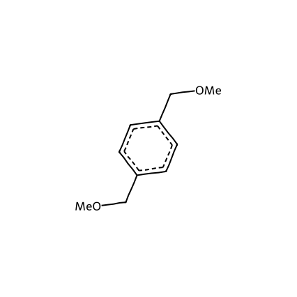 [CH2]OCc1ccc(COC)cc1